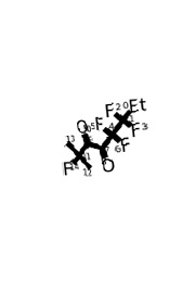 CCC(F)(F)C(F)(F)C(=O)C(=O)C(C)(C)F